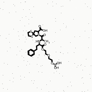 CC(NC(CCc1ccccc1)C(=O)OCCOCCON(O)O)C(=O)N1CC2(CC1C(=O)O)SCCS2